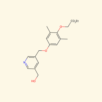 CCOC(=O)COc1c(C)cc(OCc2cncc(CO)c2)cc1C